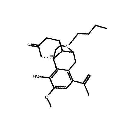 C=C(C)c1cc(OC)c(O)c2c1CC1C3CCC(=O)C[C@@]23CCN1CCCC